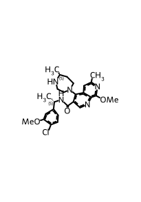 COc1cc([C@H](C)NC(=O)c2cnc3c(OC)nc(C)cc3c2N2CCN[C@@H](C)CC2)ccc1Cl